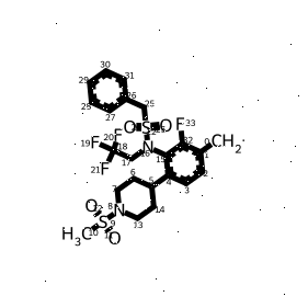 [CH2]c1ccc(C2CCN(S(C)(=O)=O)CC2)c(N(CC(F)(F)F)S(=O)(=O)Cc2ccccc2)c1F